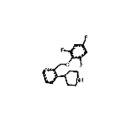 Fc1cc(F)c(OCc2ncccc2C2CCNCC2)c(F)c1